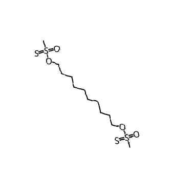 CS(=O)(=S)OCCCCCCCCCCOS(C)(=O)=S